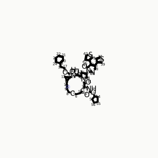 O=C(N[C@H]1CCCCC/C=C\C2C[C@@]2(C(=O)OCCc2ccccc2)NC(=O)[C@@H]2C[C@@H](n3ncc(-c4ccsc4)c(-c4ccsc4)c3=O)CN2C1=O)OC1CCCC1